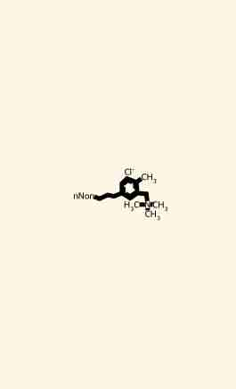 CCCCCCCCCCCCc1ccc(C)c(C[N+](C)(C)C)c1.[Cl-]